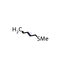 C=C/C=C/CSC